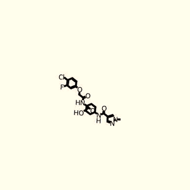 Cn1cc(C(=O)NC23CCC(NC(=O)COc4ccc(Cl)c(F)c4)(CC2)C(O)C3)cn1